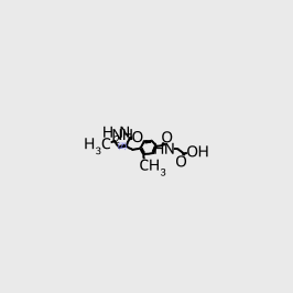 CC(=N)/C=C(/Cc1ccc(C(=O)NCC(=O)O)cc1C)C(N)=O